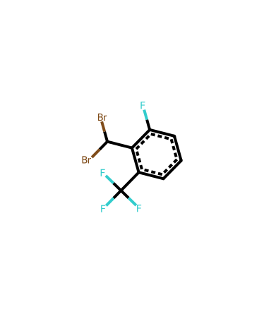 Fc1cccc(C(F)(F)F)c1C(Br)Br